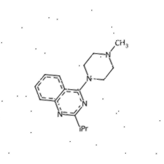 CC(C)c1nc(N2CCN(C)CC2)c2ccccc2n1